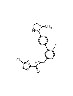 CN1CCN=C1c1ccc(-c2cc(CNC(=O)c3ccc(Cl)s3)ccc2F)cc1